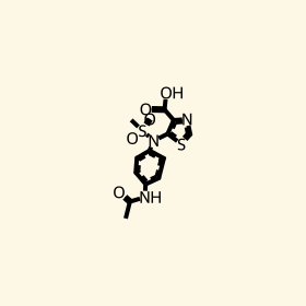 CC(=O)Nc1ccc(N(c2scnc2C(=O)O)S(C)(=O)=O)cc1